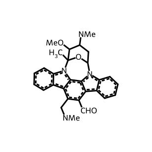 CNCc1c(C=O)c2c3ccccc3n3c2c2c1c1ccccc1n2C1(C)OC3CC(NC)C1OC